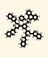 c1ccc(-n2c(-c3cc(-c4cc(-c5cnc6ccccc6c5)nc(-c5cnc6ccccc6c5)c4)cc(-c4cc(-c5cnc6ccccc6c5)nc(-c5cnc6ccccc6c5)c4)c3)nc3c4ccccc4c4ccccc4c32)cc1